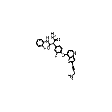 CN(C)CC#Cc1cc2nccc(Oc3ccc(C(C(N)=O)C(=O)Nc4ccccc4F)cc3F)c2s1